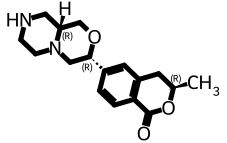 C[C@@H]1Cc2cc([C@@H]3CN4CCNC[C@@H]4CO3)ccc2C(=O)O1